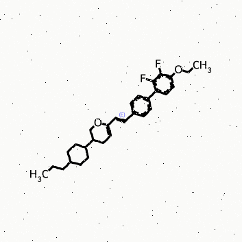 CCCC1CCC(C2CC=C(/C=C/c3ccc(-c4ccc(OCC)c(F)c4F)cc3)OC2)CC1